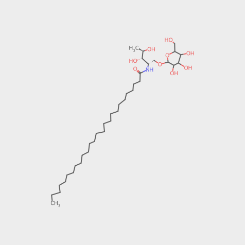 CCCCCCCCCCCCCCCCCCCCCCCCCC(=O)N[C@@H](COC1OC(CO)C(O)C(O)C1O)[C@H](O)[C@@H](C)O